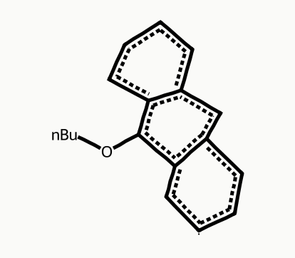 CCCCOc1c2c[c]ccc2cc2ccccc12